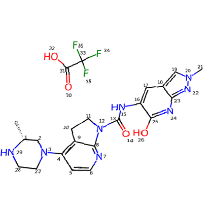 C[C@@H]1CN(c2ccnc3c2CCN3C(=O)Nc2cc3cn(C)nc3nc2O)CCN1.O=C(O)C(F)(F)F